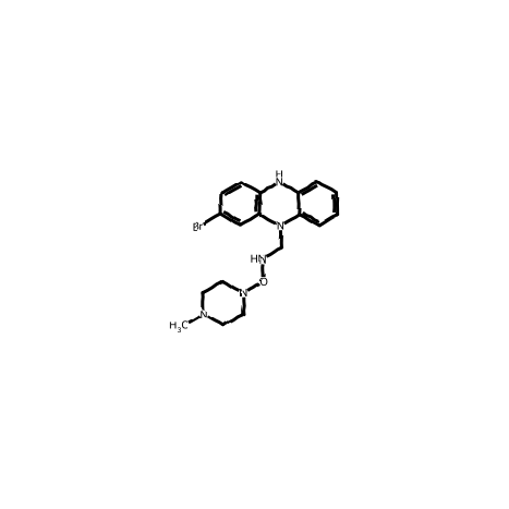 CN1CCN(ONCN2c3ccccc3Nc3ccc(Br)cc32)CC1